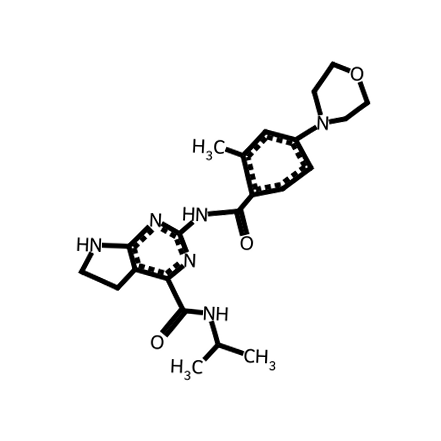 Cc1cc(N2CCOCC2)ccc1C(=O)Nc1nc2c(c(C(=O)NC(C)C)n1)CCN2